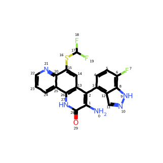 Nc1c(-c2ccc(F)c3[nH]ncc23)c2cc(SC(F)F)c3ncccc3c2[nH]c1=O